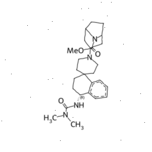 COC(=O)N1C2CCC1CC(N1CCC3(CC[C@@H](NC(=O)N(C)C)c4ccccc43)CC1)C2